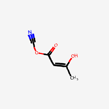 C/C(O)=C/C(=O)OC#N